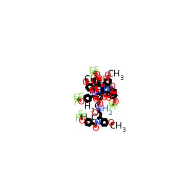 COc1ccc2c(c1)C(C(C(=O)O)c1c(C)n(C(=O)c3ccc(OC(F)(F)F)cc3)c3ccc(OC)cc13)=C(C)[N+]2(C(=O)c1ccc(OC(F)(F)F)cc1)C(C(=O)[O-])(c1c(C)n(C(=O)c2ccc(OC(F)(F)F)cc2)c2ccc(OC)cc12)C1CCCC1.COc1ccc2c(c1)c(CC(N)=O)c(C)n2C(=O)c1ccc(OC(F)(F)F)cc1